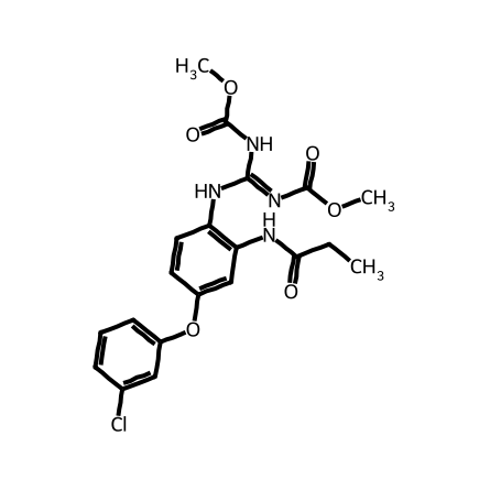 CCC(=O)Nc1cc(Oc2cccc(Cl)c2)ccc1NC(=NC(=O)OC)NC(=O)OC